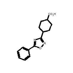 O=C(O)C1CCC(c2noc(-c3ccccc3)n2)CC1